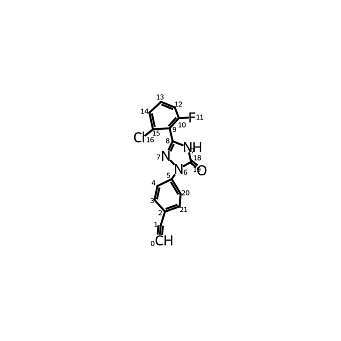 C#Cc1ccc(-n2nc(-c3c(F)cccc3Cl)[nH]c2=O)cc1